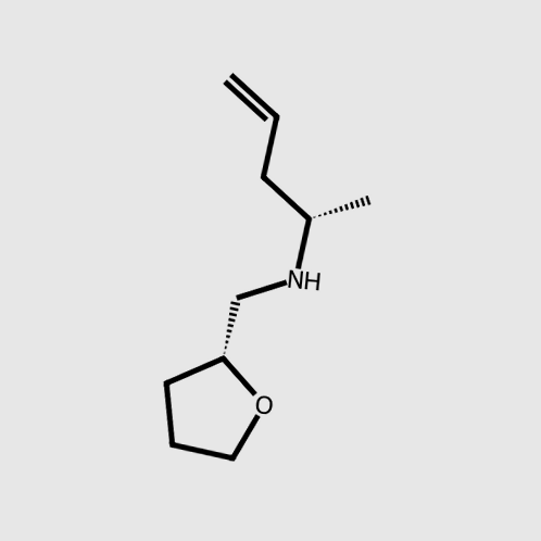 C=CC[C@H](C)NC[C@H]1CCCO1